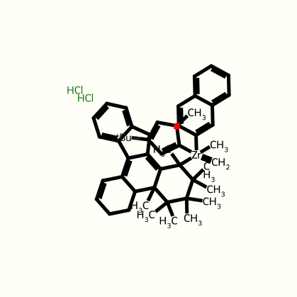 Cl.Cl.[CH2]=[Zr]([CH3])([C]1=CC(C(C)(C)C)=CC1C)([c]1ccc2ccccc2c1)[C]1(C)C2=C3Cc4ccccc4C3=C3C=CCCC3C2(C)C(C)(C)C(C)(C)C1(C)C